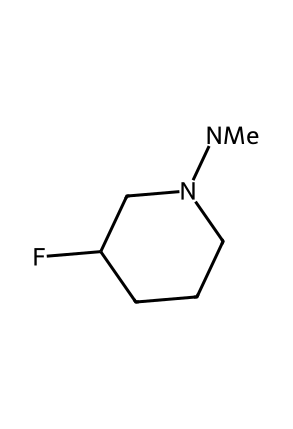 CNN1CCCC(F)C1